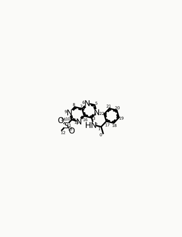 CC(Nc1ncnc2cnc(S(C)(=O)=O)nc12)c1ccccc1